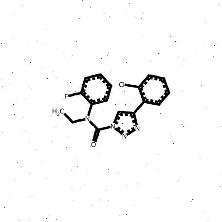 CCN(C(=O)n1cc(-c2ccccc2Cl)nn1)c1ccccc1F